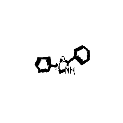 c1ccc(C2NCN(c3ccccc3)O2)cc1